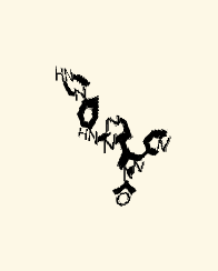 c1cncc(-c2nn(C3COC3)cc2-c2ccnc(Nc3ccc(N4CCNCC4)cc3)n2)c1